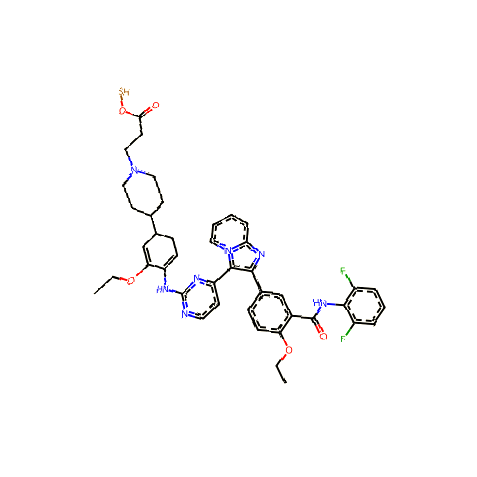 CCOC1=CC(C2CCN(CCC(=O)OS)CC2)CC=C1Nc1nccc(-c2c(-c3ccc(OCC)c(C(=O)Nc4c(F)cccc4F)c3)nc3ccccn23)n1